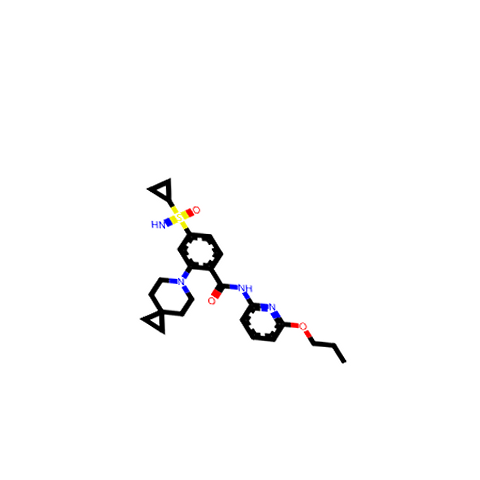 CCCOc1cccc(NC(=O)c2ccc(S(=N)(=O)C3CC3)cc2N2CCC3(CC2)CC3)n1